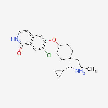 CCCC1(C(N)C2CC2)CCC(Oc2cc3cc[nH]c(=O)c3cc2Cl)CC1